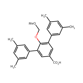 COCOc1c(-c2cc(C)cc(C)c2)cc(C(=O)O)cc1-c1cc(C)cc(C)c1